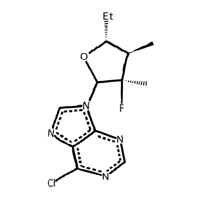 CC[C@H]1OC(n2cnc3c(Cl)ncnc32)[C@](C)(F)[C@@H]1C